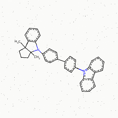 CC12CCCC1(C)N(c1ccc(-c3ccc(-n4c5ccccc5c5ccccc54)cc3)cc1)c1ccccc12